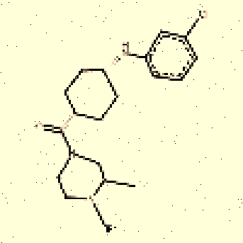 CC(C)N1CCN(C(=O)[C@H]2CC[C@@H](Nc3cccc(Cl)c3)CC2)CC1C